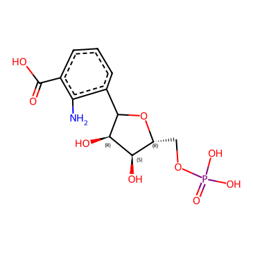 Nc1c(C(=O)O)cccc1C1O[C@H](COP(=O)(O)O)[C@@H](O)[C@H]1O